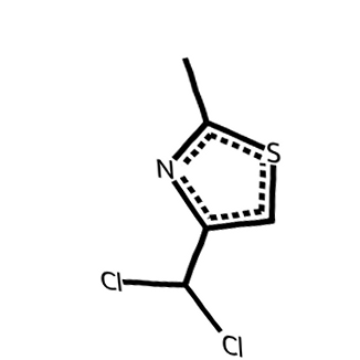 Cc1nc(C(Cl)Cl)cs1